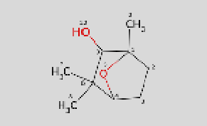 CC12CCC(O1)C(C)(C)C2O